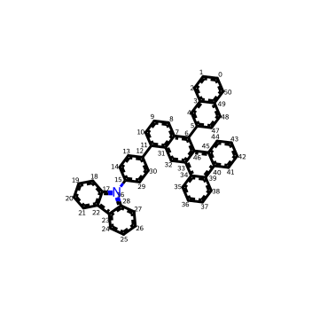 c1ccc2cc(-c3c4cccc(-c5ccc(-n6c7ccccc7c7ccccc76)cc5)c4cc4c5ccccc5c5ccccc5c34)ccc2c1